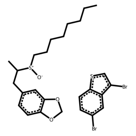 Brc1ccc2scc(Br)c2c1.CCCCCCCC[S+]([O-])C(C)Cc1ccc2c(c1)OCO2